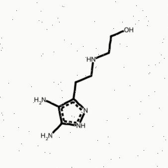 Nc1[nH]nc(CCNCCO)c1N